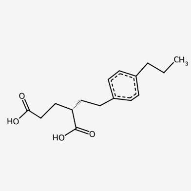 CCCc1ccc(CC[C@@H](CCC(=O)O)C(=O)O)cc1